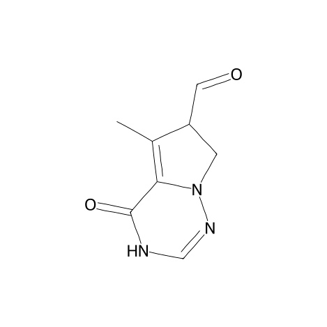 CC1=C2C(=O)NC=NN2CC1C=O